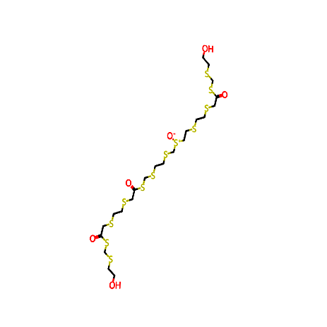 O=C(CSCCSCC[S+]([O-])CSCCSCSC(=O)CSCCSCC(=O)SCSCCO)SCSCCO